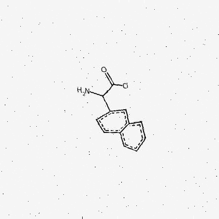 NC(C(=O)Cl)c1ccc2ccccc2c1